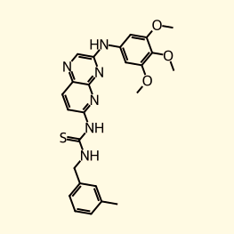 COc1cc(Nc2cnc3ccc(NC(=S)NCc4cccc(C)c4)nc3n2)cc(OC)c1OC